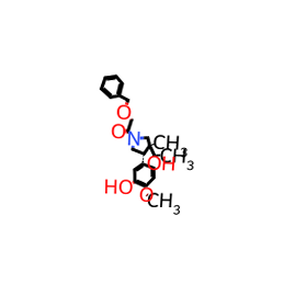 COc1ccc([C@@H]2CN(C(=O)COCc3ccccc3)C[C@@]2(C)[C@@H](C)O)cc1O